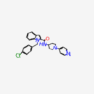 O=C(NC1CCN(c2ccncc2)CC1)c1cc2ccccc2n1Cc1ccc(Cl)cc1